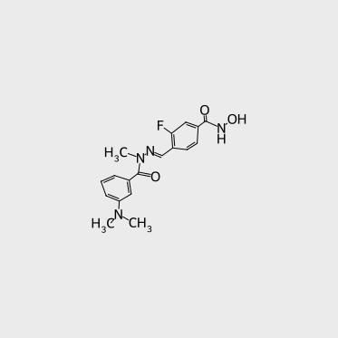 CN(N=Cc1ccc(C(=O)NO)cc1F)C(=O)c1cccc(N(C)C)c1